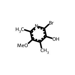 COc1c(C)nc(Br)c(O)c1C